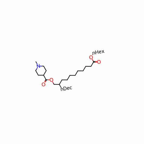 CCCCCCCCCCC(CCCCCCCCC(=O)OCCCCCC)COC(=O)C1CCN(C)CC1